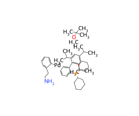 CC(C)c1cc(C(C)C)c(-c2ccccc2P(C2CCCCC2)C2CCCCC2)c(C(C)C)c1.COC(C)(C)C.NCCc1cccc[c]1[Pd]